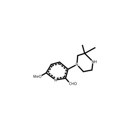 COc1ccc(N2CCNC(C)(C)C2)c(C=O)n1